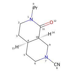 CC(C)N1CC[C@@H]2CCN(C#N)C[C@@H]2C1=O